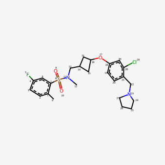 Cc1ccc(F)cc1S(=O)(=O)N(C)CC1CC(Oc2ccc(CN3CCCC3)c(Cl)c2)C1